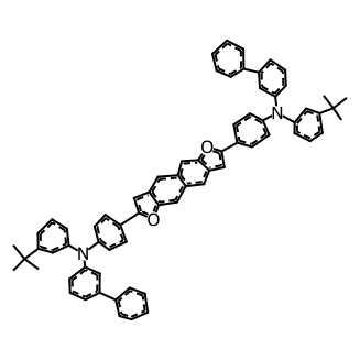 CC(C)(C)c1cccc(N(c2ccc(-c3cc4cc5cc6oc(-c7ccc(N(c8cccc(-c9ccccc9)c8)c8cccc(C(C)(C)C)c8)cc7)cc6cc5cc4o3)cc2)c2cccc(-c3ccccc3)c2)c1